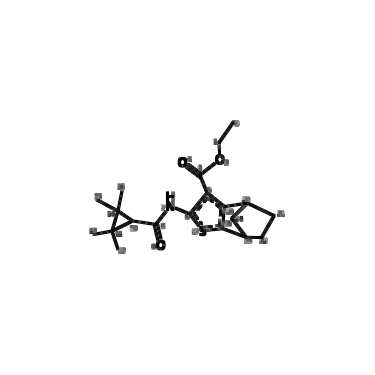 CCOC(=O)c1c(NC(=O)C2C(C)(C)C2(C)C)sc2c1C1CCC2C1